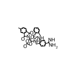 CCO[C@](OC(C)=O)(C(=O)NCc1ccc(C(=N)N)cc1NCc1ccccc1F)N1C(=O)c2ccc(C)cc2C1=O